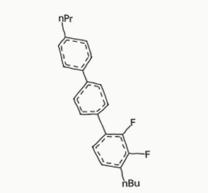 CCCCc1ccc(-c2ccc(-c3ccc(CCC)cc3)cc2)c(F)c1F